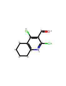 O=Cc1c(Cl)nc2c(c1Cl)CCCC2